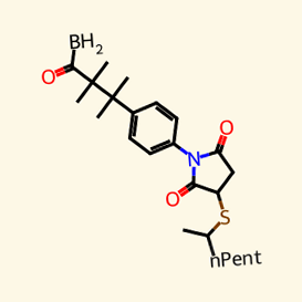 BC(=O)C(C)(C)C(C)(C)c1ccc(N2C(=O)CC(SC(C)CCCCC)C2=O)cc1